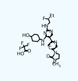 CC[C@H](F)CNc1ncc(-c2ccc(N3CCN(C)C3=O)cn2)c(NC2CCC(O)CC2)n1.O=C(O)C(F)(F)F